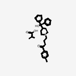 CC(C)C(=O)O.Cc1ccc(C(=O)CCCN2CCC(C(O)(c3ccccc3)c3ccccc3)CC2)cc1